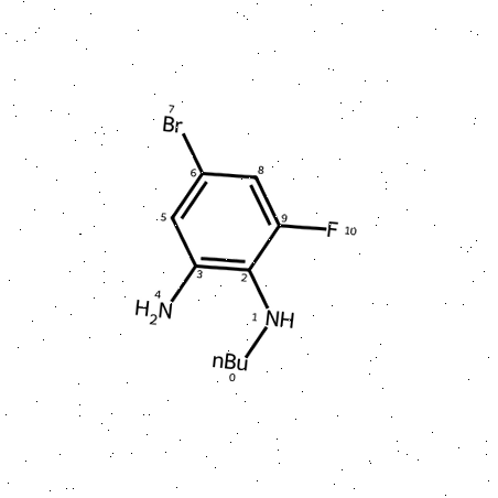 CCCCNc1c(N)cc(Br)cc1F